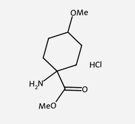 COC(=O)C1(N)CCC(OC)CC1.Cl